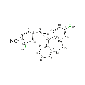 N#Cc1ccc(C=C=C2c3ccccc3CCc3cc(F)ccc32)cc1F